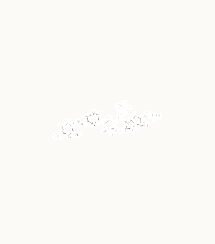 O=C(O)c1cc2c(nc(CN3CC=C(c4cncc(OCc5ccc(Cl)cc5F)n4)CC3)n2C[C@@H]2CCO2)[nH]1